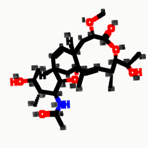 CO[C@H]1C[C@H]2C=C[C@@H]3C[C@]2(O[C@H]3[C@@H](NC(C)=O)[C@H](C)[C@H](C)O)/C(C)=C/[C@@H](C)[C@@H]([C@@H](C)O)OC1=O